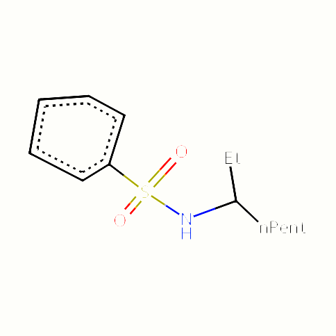 CCCCCC(CC)NS(=O)(=O)c1ccccc1